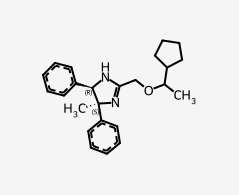 CC(OCC1=N[C@@](C)(c2ccccc2)[C@@H](c2ccccc2)N1)C1CCCC1